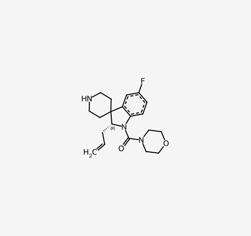 C=CC[C@H]1N(C(=O)N2CCOCC2)c2ccc(F)cc2C12CCNCC2